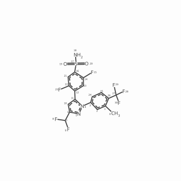 Cc1cc(-n2nc(C(F)F)cc2-c2cc(F)c(S(N)(=O)=O)cc2F)ccc1C(F)(F)F